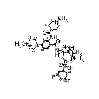 CN1CCN(C(=O)Nc2cc(N3CCN(C)CC3)ccc2C(=O)Nc2n[nH]c3c2CN(S(=O)(=O)c2cc(F)cc(F)c2)CC3(C)C)CC1